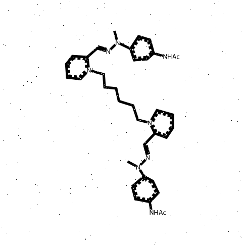 CC(=O)Nc1ccc(N(C)/N=C/c2cccc[n+]2CCCCCC[n+]2ccccc2/C=N/N(C)c2ccc(NC(C)=O)cc2)cc1